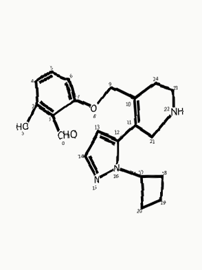 O=Cc1c(O)cccc1OCC1=C(c2ccnn2C2CCC2)CNCC1